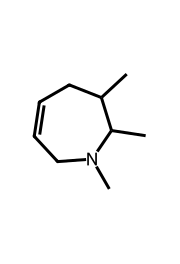 CC1CC=CCN(C)C1C